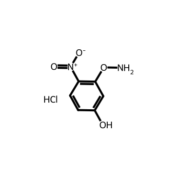 Cl.NOc1cc(O)ccc1[N+](=O)[O-]